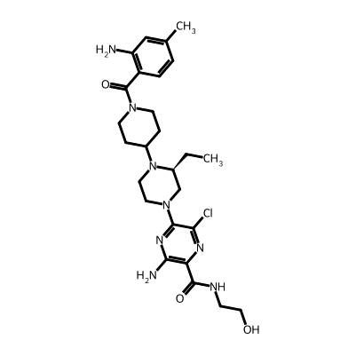 CC[C@H]1CN(c2nc(N)c(C(=O)NCCO)nc2Cl)CCN1C1CCN(C(=O)c2ccc(C)cc2N)CC1